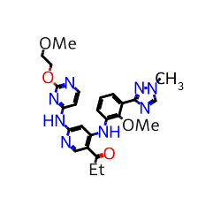 CCC(=O)c1cnc(Nc2ccnc(OCCOC)n2)cc1Nc1cccc(-c2ncn(C)n2)c1OC